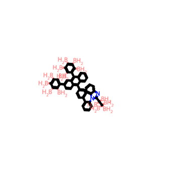 Bc1c(B)c(B)c(-c2ccc3c(-c4ccc(-c5ccccc5-n5c(C(B)(B)C(B)(B)B)nc6ccccc65)cc4)c4ccccc4c(-c4c(B)c(B)c(B)c(B)c4B)c3c2)c(B)c1B